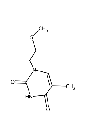 CSCCn1cc(C)c(=O)[nH]c1=O